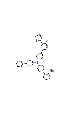 Cc1ccccc1-c1cc(-c2ccc(N(c3ccc(-c4ccccc4)cc3)c3ccc(-c4ccccc4C(C)(C)C)cc3)cc2)ccc1C